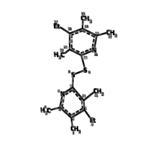 CCc1c(C)c(C)nc(SSc2nc(C)c(C)c(CC)c2C)c1C